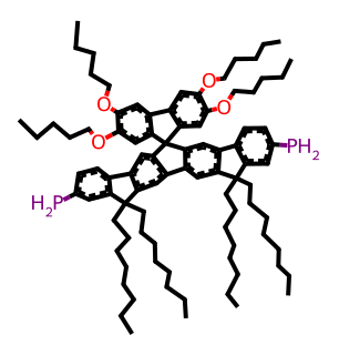 CCCCCCCCC1(CCCCCCCC)c2cc(P)ccc2-c2cc3c(cc21)-c1cc2c(cc1C31c3cc(OCCCCC)c(OCCCCC)cc3-c3cc(OCCCCC)c(OCCCCC)cc31)-c1ccc(P)cc1C2(CCCCCCCC)CCCCCCCC